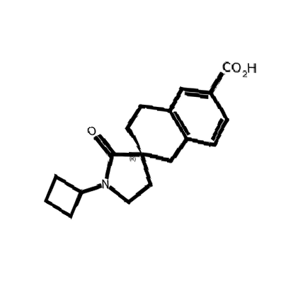 O=C(O)c1ccc2c(c1)CC[C@]1(CCN(C3CCC3)C1=O)C2